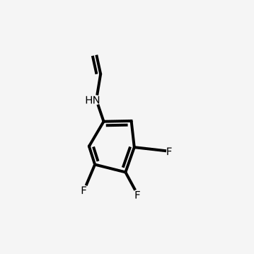 C=CNc1cc(F)c(F)c(F)c1